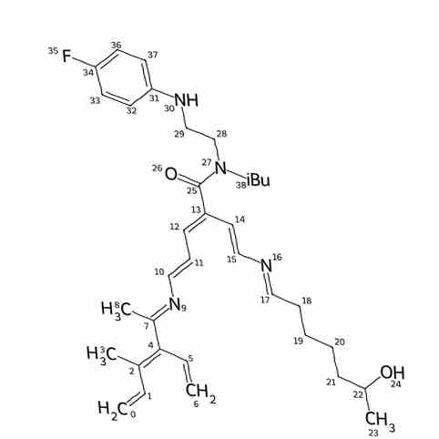 C=C/C(C)=C(C=C)/C(C)=N/C=C/C=C(\C=C\N=C\CCCCC(C)O)C(=O)N(CCNc1ccc(F)cc1)C(C)CC